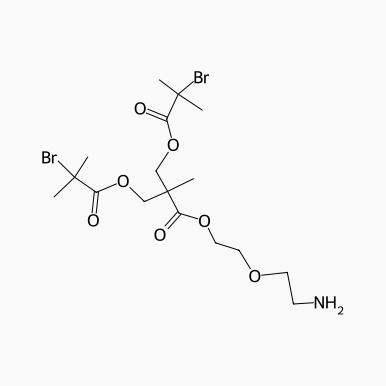 CC(C)(Br)C(=O)OCC(C)(COC(=O)C(C)(C)Br)C(=O)OCCOCCN